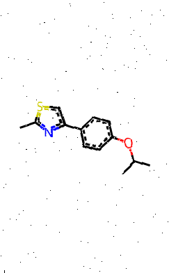 Cc1nc(-c2ccc(OC(C)C)cc2)cs1